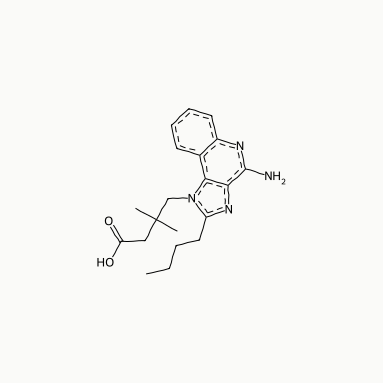 CCCCc1nc2c(N)nc3ccccc3c2n1CC(C)(C)CC(=O)O